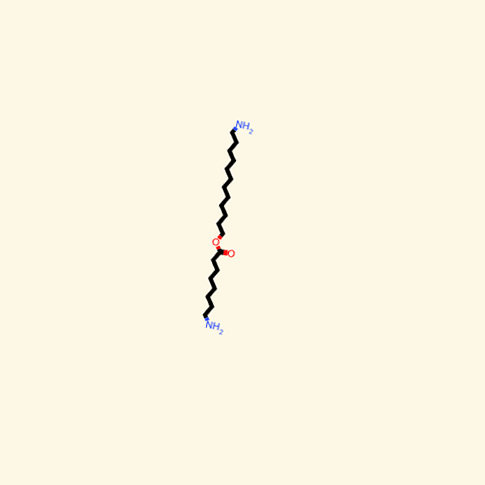 NCCCCCCCCCCCCOC(=O)CCCCCCCN